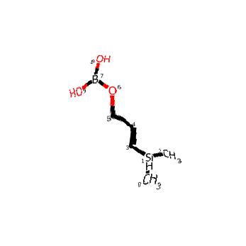 C[SiH](C)C=CCOB(O)O